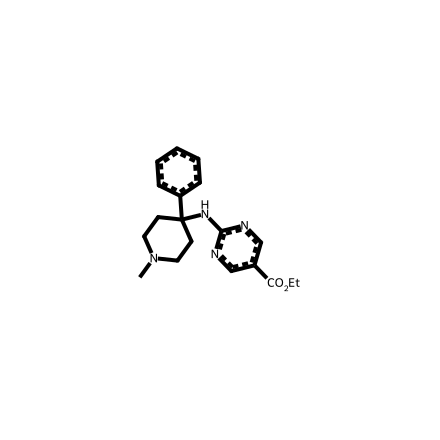 CCOC(=O)c1cnc(NC2(c3ccccc3)CCN(C)CC2)nc1